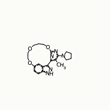 Cc1c2nc(nc1N1CCCC1)OCCCOCCOc1ccc3[nH]nc-2c3c1